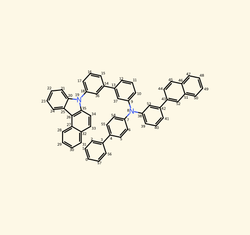 c1ccc(-c2ccc(N(c3cccc(-c4cccc(-n5c6ccccc6c6c7ccccc7ccc65)c4)c3)c3cccc(-c4ccc5ccccc5c4)c3)cc2)cc1